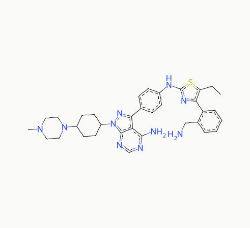 CCc1sc(Nc2ccc(-c3nn(C4CCC(N5CCN(C)CC5)CC4)c4ncnc(N)c34)cc2)nc1-c1ccccc1CN